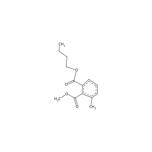 CCCCOC(=O)c1cccc(C)c1C(=O)OC